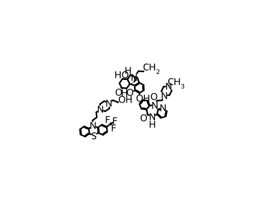 C=CCN1CC[C@]23c4c5ccc(O)c4O[C@H]2C(=O)CC[C@@]3(O)[C@H]1C5.CN1CCN(CC(=O)N2c3ccccc3C(=O)Nc3cccnc32)CC1.OCCN1CCN(CCCN2c3ccccc3Sc3ccc(C(F)(F)F)cc32)CC1